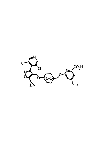 O=C(O)c1cc(C(F)(F)F)cc(OCC23CCC(OCc4c(-c5c(Cl)cncc5Cl)noc4C4CC4)(CC2)CC3)n1